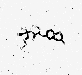 CON=CC(C)(C#N)NC(=O)C(Oc1ccc2ncc(I)cc2c1)SC